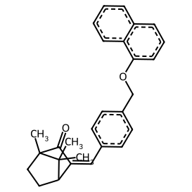 CC12CCC(C(=Cc3ccc(COc4cccc5ccccc45)cc3)C1=O)C2(C)C